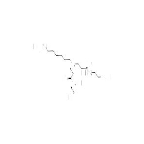 NCCCCCCN(CCC(=O)NCCS)CCC(=O)NCCS